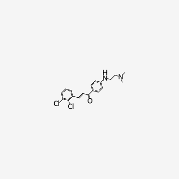 CN(C)CCNc1ccc(C(=O)C=Cc2cccc(Cl)c2Cl)cc1